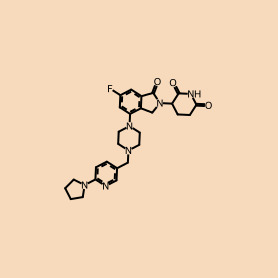 O=C1CCC(N2Cc3c(cc(F)cc3N3CCN(Cc4ccc(N5CCCC5)nc4)CC3)C2=O)C(=O)N1